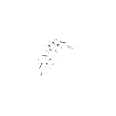 C[C@]12CC[C@H]3[C@@H](CCC4=CC(=O)CC[C@@H]43)[C@@H]1[C@@H]1C[C@@H]1[C@@]2(O)/C=C\CO